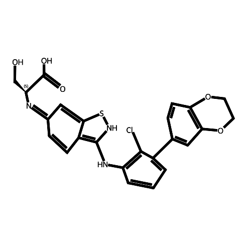 O=C(O)[C@H](CO)N=c1ccc2c(Nc3cccc(-c4ccc5c(c4)OCCO5)c3Cl)[nH]sc-2c1